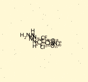 Nc1nc(Nc2cc(Cl)c(-c3ccc(S(=O)(=O)N4CCCC4)cc3)c(C(F)(F)F)c2)n[nH]1